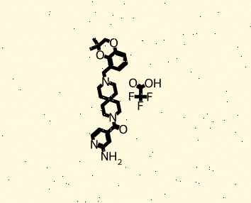 CC1(C)COc2cccc(CN3CCC4(CC3)CCN(C(=O)c3ccnc(N)c3)CC4)c2O1.O=C(O)C(F)(F)F